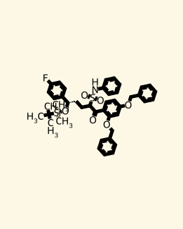 CC(C)(C)[Si](C)(C)O[C@@H](CCC(C(=O)c1ccc(OCc2ccccc2)cc1OCc1ccccc1)S(=O)(=O)Nc1ccccc1)c1ccc(F)cc1